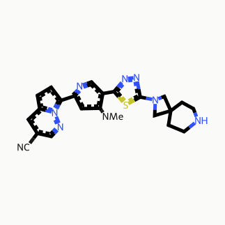 CNc1cc(-c2ccc3cc(C#N)cnn23)ncc1-c1nnc(N2CC3(CCNCC3)C2)s1